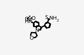 CS(=O)(=O)Nc1ccc2c(-c3cccc(C(N)=S)c3)cn(C3CCOCC3)c2c1